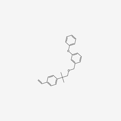 C=Cc1ccc(C(C)(C)COCc2cccc(Oc3ccccc3)c2)cc1